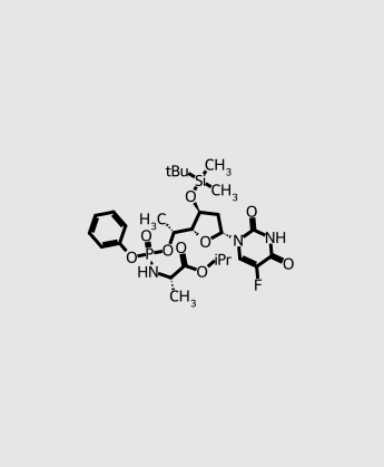 CC(C)OC(=O)[C@H](C)N[P@@](=O)(Oc1ccccc1)O[C@H](C)[C@H]1O[C@@H](n2cc(F)c(=O)[nH]c2=O)C[C@@H]1O[Si](C)(C)C(C)(C)C